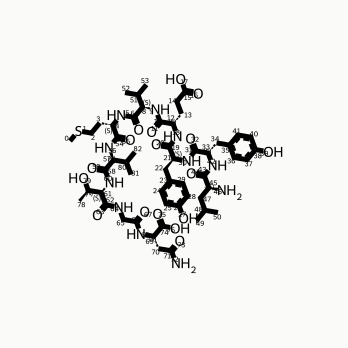 CSCC[C@H](NC(=O)[C@@H](NC(=O)[C@H](CCC(=O)O)NC(=O)[C@H](Cc1ccc(O)cc1)NC(=O)[C@H](Cc1ccc(O)cc1)NC(=O)[C@@H](N)CC(C)C)C(C)C)C(=O)N[C@H](C(=O)N[C@H](C(=O)NCC(=O)N[C@@H](CC(N)=O)C(=O)O)[C@@H](C)O)C(C)C